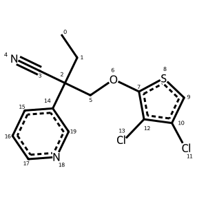 CCC(C#N)(COc1scc(Cl)c1Cl)c1cccnc1